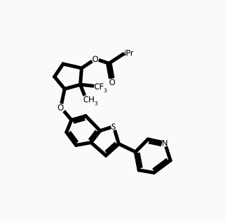 CC(C)C(=O)OC1CCC(Oc2ccc3cc(-c4cccnc4)sc3c2)C1(C)C(F)(F)F